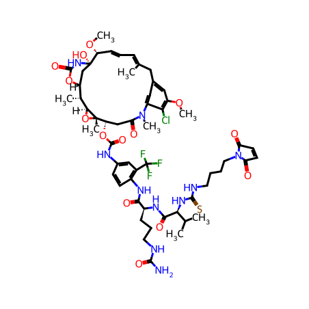 COc1cc2cc(c1Cl)N(C)C(=O)C[C@H](OC(=O)Nc1ccc(NC(=O)[C@H](CCCNC(N)=O)NC(=O)[C@@H](NC(=S)NCCCCN3C(=O)C=CC3=O)C(C)C)c(C(F)(F)F)c1)[C@]1(C)O[C@H]1[C@H](C)[C@@H]1C[C@@](O)(NC(=O)O1)[C@H](OC)/C=C/C=C(\C)C2